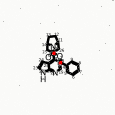 O=C(OCc1ccccc1)N1C2CCC1CN(c1ncnc3[nH]ccc13)C2